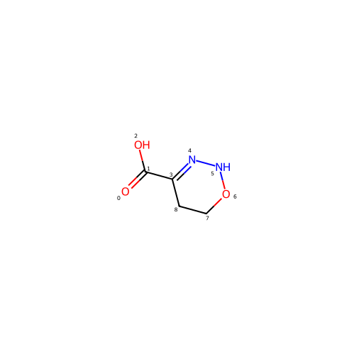 O=C(O)C1=NNOCC1